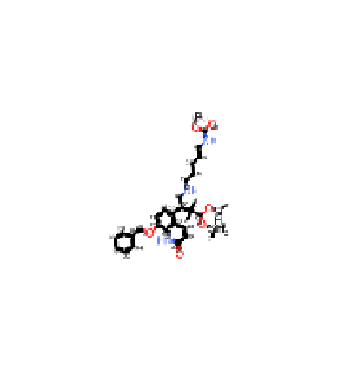 C[SiH2]OC(O[SiH2]C)C(C)(C)C(CNCCCCCNC(=O)OC(C)(C)C)c1ccc(OCc2ccccc2)c2[nH]c(=O)ccc12